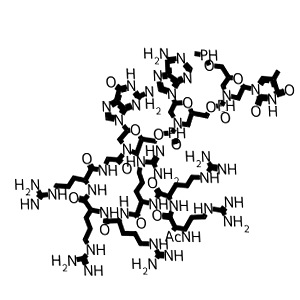 CPOCC1CN([PH](=O)OCC2CN([PH](=O)OCC3CN(C(=O)CNC(=O)C(CCCNC(=N)N)NC(=O)C(CCCNC(=N)N)NC(=O)C(CCCNC(=N)N)NC(=O)C(CCCNC(=N)N)NC(=O)C(CCCNC(=N)N)NC(=O)C(CCCNC(=N)N)NC(C)=O)CC(n4cnc5c(=O)[nH]c(N)nc54)O3)CC(n3cnc4c(N)ncnc43)O2)CC(n2cc(C)c(=O)[nH]c2=O)O1